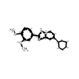 COc1ccc(-c2nc3cc(C4CCCCC4)ccn3n2)cc1OC